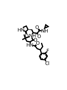 CCC(CC(=O)NC(CC(C)(C)C)C(=O)NC(C[C@@H]1CCNC1=O)C(=O)C(=O)NC1CC1)c1ccc(Cl)cc1F